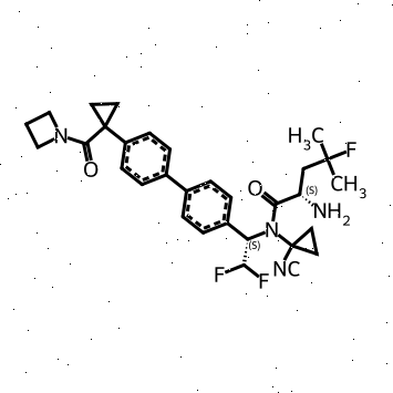 CC(C)(F)C[C@H](N)C(=O)N([C@@H](c1ccc(-c2ccc(C3(C(=O)N4CCC4)CC3)cc2)cc1)C(F)F)C1(C#N)CC1